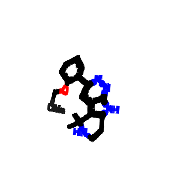 COCOc1ccccc1-c1cc2c3c([nH]c2nn1)CCNC3(C)C